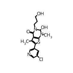 Cc1c(-c2cncc(Cl)c2)sc2c1C(=O)N(CCCO)C(O)N2C